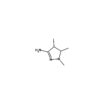 CC1C(N)=NN(C)C1C